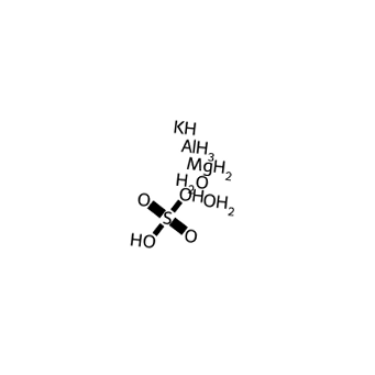 O.O.O=S(=O)(O)O.[AlH3].[KH].[MgH2]